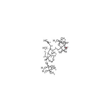 [2H]C([2H])([2H])C(CCC[C@](C)(CC#C)[C@H]1CC[C@H]2[C@@H](O[Si](C)(C)C(C)(C)C)CCC[C@]12C)(O[Si](C)(C)C)C([2H])([2H])[2H]